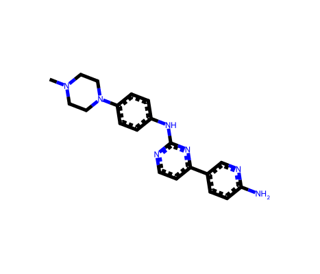 CN1CCN(c2ccc(Nc3nccc(-c4ccc(N)nc4)n3)cc2)CC1